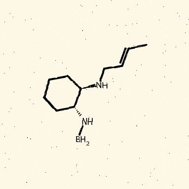 BN[C@@H]1CCCC[C@H]1NCC=CC